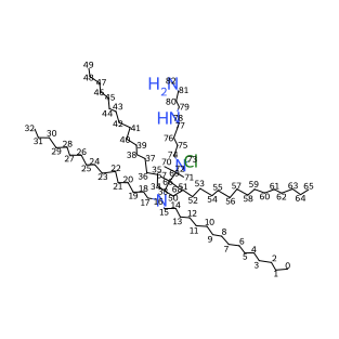 CCCCCCCCCCCCCCCCN(CCCCCCCCCCCCCCCC)C(CCCCCCCCCCCCCCCC)(CCCCCCCCCCCCCCCC)C(C)(C)C(C)(C)N(Cl)CCCCNCCCN